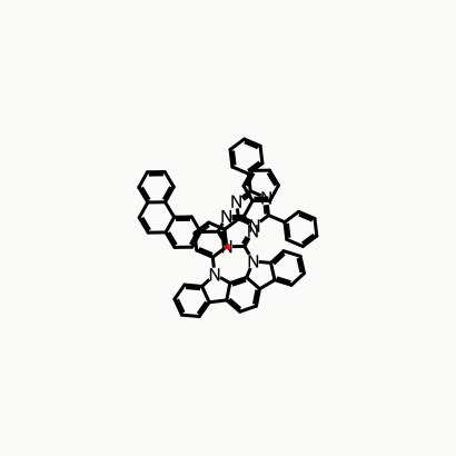 c1ccc(-c2nc(-c3ccccc3)nc(-c3cccc(-n4c5ccccc5c5ccc6c7ccccc7n(-c7nc(-c8ccccc8)nc(-c8ccc9ccc%10ccccc%10c9c8)n7)c6c54)c3)n2)cc1